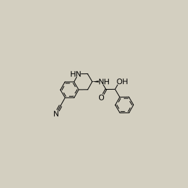 N#Cc1ccc2c(c1)C[C@H](NC(=O)C(O)c1ccccc1)CN2